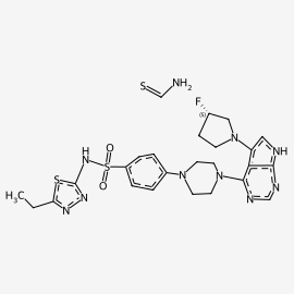 CCc1nnc(NS(=O)(=O)c2ccc(N3CCN(c4ncnc5[nH]cc(N6CC[C@H](F)C6)c45)CC3)cc2)s1.NC=S